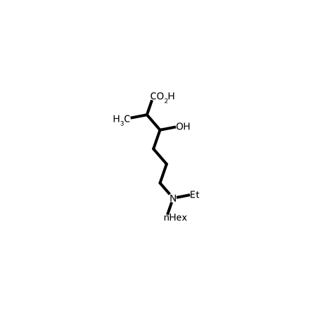 CCCCCCN(CC)CCCC(O)C(C)C(=O)O